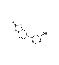 O=C1C=c2ccc(-c3cccc(O)c3)cc2=N1